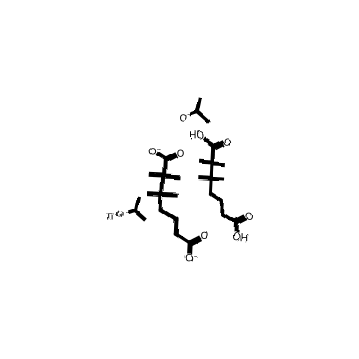 CC(C)(CCCC(=O)O)C(C)(C)C(=O)O.CC(C)(CCCC(=O)[O-])C(C)(C)C(=O)[O-].CC(C)[O-].CC(C)[O-].[Ti+4]